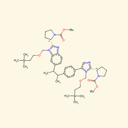 CC(c1ccc(-c2cnc([C@@H]3CCCN3C(=O)OC(C)(C)C)n2COCC[Si](C)(C)C)cc1)C(C)c1ccc2nc([C@@H]3CCCN3C(=O)OC(C)(C)C)n(COCC[Si](C)(C)C)c2c1